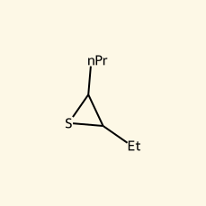 CCCC1SC1CC